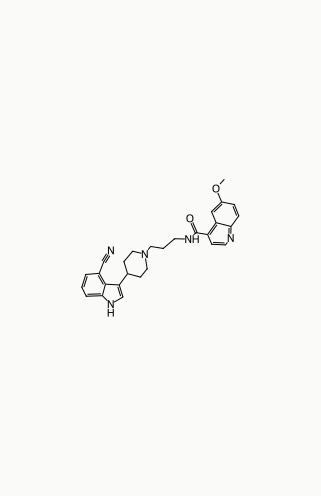 COc1ccc2nccc(C(=O)NCCCN3CCC(c4c[nH]c5cccc(C#N)c45)CC3)c2c1